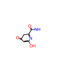 [NH]C(=O)C1=NC(O)=CC(=O)C1